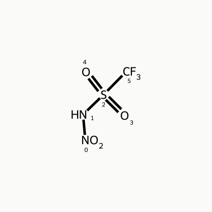 O=[N+]([O-])NS(=O)(=O)C(F)(F)F